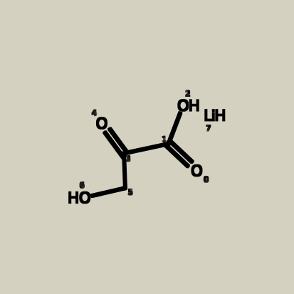 O=C(O)C(=O)CO.[LiH]